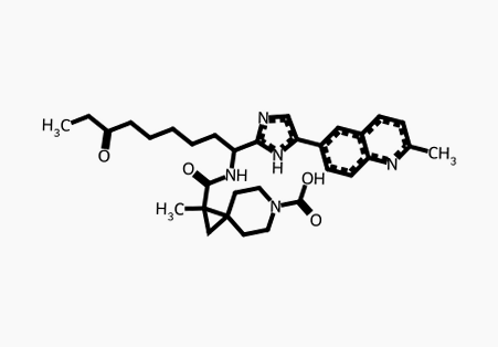 CCC(=O)CCCCCC(NC(=O)C1(C)CC12CCN(C(=O)O)CC2)c1ncc(-c2ccc3nc(C)ccc3c2)[nH]1